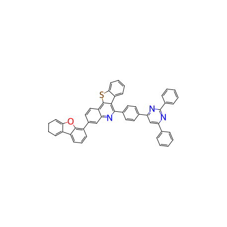 C1=c2oc3c(-c4ccc5c(c4)nc(-c4ccc(-c6cc(-c7ccccc7)nc(-c7ccccc7)n6)cc4)c4c6ccccc6sc54)cccc3c2=CCC1